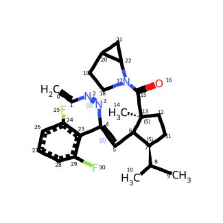 C=C/N=N\C(=C/C1[C@H](C(C)C)CC[C@]1(C)C(=O)N1CCC2CC21)c1c(F)cccc1F